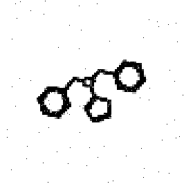 C1=CC[C]([Cr]([CH2]c2ccccc2)[CH2]c2ccccc2)=C1